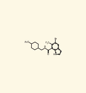 CC(=O)OC1CCC(CNC(=O)c2c(C(F)(F)F)c(Br)cc3cc[nH]c23)CC1